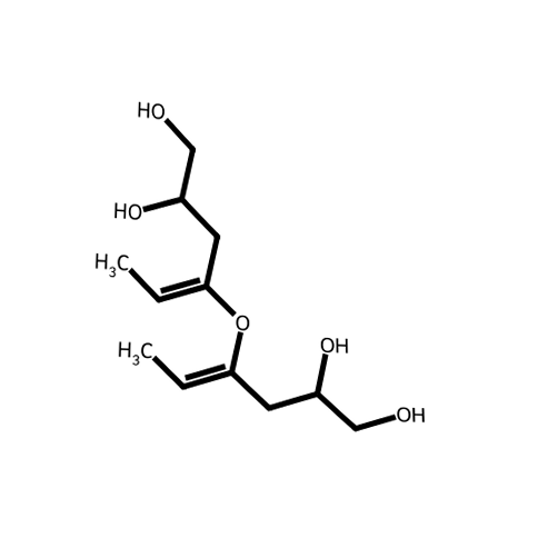 CC=C(CC(O)CO)OC(=CC)CC(O)CO